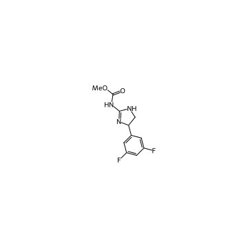 COC(=O)NC1=NC(c2cc(F)cc(F)c2)CN1